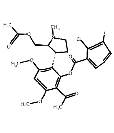 COc1cc(OC)c([C@H]2CCN(C)[C@@H]2COC(C)=O)c(OC(=O)c2cccc(I)c2Cl)c1C(C)=O